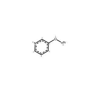 CCCOc1cccnc1